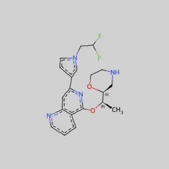 C[C@@H](Oc1nc(-c2ccn(CC(F)F)c2)cc2ncccc12)[C@@H]1CNCCO1